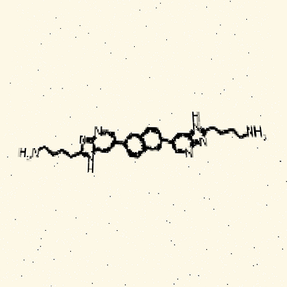 NCCCCc1nc2ncc(-c3ccc4cc(-c5cnc6nc(CCCCN)[nH]c6c5)ccc4c3)cc2[nH]1